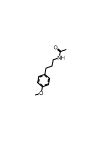 COc1ccc(CCCNC(C)=O)cc1